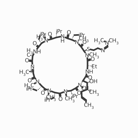 C/C=C/C[C@@H](C)[C@@H](O)[C@H]1C(=O)N[C@@H](CC)C(=O)N(C)[C@H](SCC/N=C\N(C)C)C(=O)N(C)[C@@H](CC(C)C)C(=O)N[C@@H](C(C)C)C(=O)N(C)[C@@H](CC(C)C)C(=O)N[C@@H](C)C(=O)N[C@H](C)C(=O)N(C)[C@@H](CC(C)C)C(=O)N(C)[C@@H](CC(C)C)C(=O)N(C)[C@@H](C(C)C)C(=O)N1C